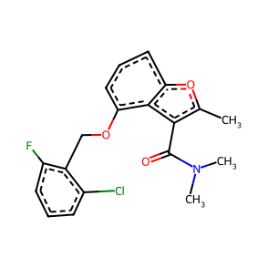 Cc1oc2cccc(OCc3c(F)cccc3Cl)c2c1C(=O)N(C)C